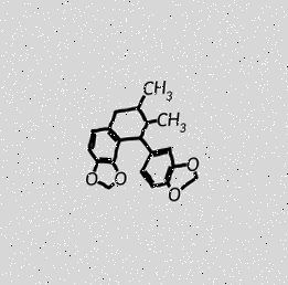 CC1Cc2ccc3c(c2C(c2ccc4c(c2)OCO4)C1C)OCO3